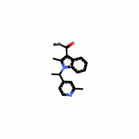 COC(=O)c1c(C)n(C(C)c2ccnc(C)c2)c2ccccc12